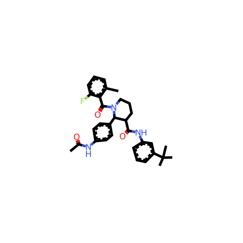 CC(=O)Nc1ccc(C2C(C(=O)Nc3cccc(C(C)(C)C)c3)CCCN2C(=O)c2c(C)cccc2F)cc1